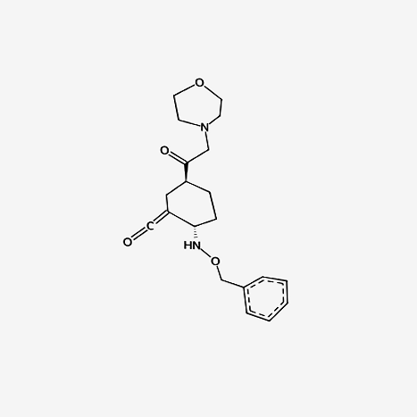 O=C=C1C[C@@H](C(=O)CN2CCOCC2)CC[C@@H]1NOCc1ccccc1